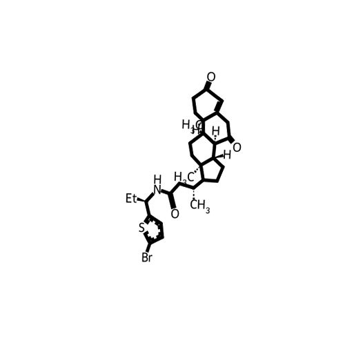 CC[C@@H](NC(=O)C[C@@H](C)C1CC[C@H]2[C@@H]3C(=O)CC4=CC(=O)CC[C@]4(C)[C@H]3CC[C@]12C)c1ccc(Br)s1